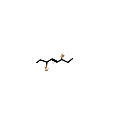 CCC(Br)/C=C/C(Br)CC